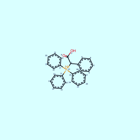 O=C(O)C(c1ccccc1)[PH](c1ccccc1)(c1ccccc1)c1ccccc1